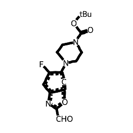 CC(C)(C)OC(=O)N1CCN(c2cc3oc(C=O)nc3cc2F)CC1